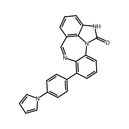 O=c1[nH]c2cccc3c2n1-c1cccc(-c2ccc(-n4cccc4)cc2)c1N=C3